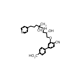 CC(C)(CCCc1ccncc1)NC[C@H](O)COc1cc(-c2ccc(C(=O)O)cc2)ccc1C#N